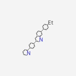 CCc1ccc(-c2ccc3cc(-c4ccc(-c5ccccn5)cc4)cnc3c2)cc1